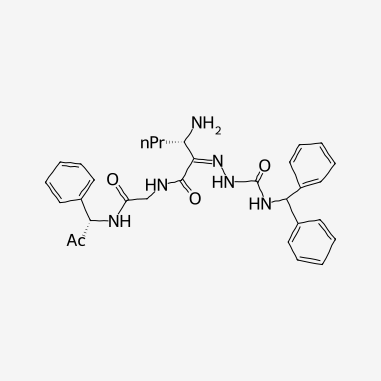 CCC[C@H](N)C(=NNC(=O)NC(c1ccccc1)c1ccccc1)C(=O)NCC(=O)N[C@H](C(C)=O)c1ccccc1